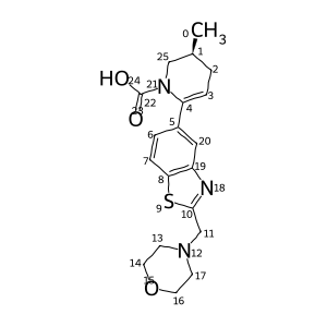 C[C@H]1CC=C(c2ccc3sc(CN4CCOCC4)nc3c2)N(C(=O)O)C1